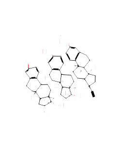 C#C[C@]1(O)CC[C@H]2[C@@H]3CCc4cc(O)ccc4[C@H]3CC[C@@]21C.C[C@]12CC[C@@H]3c4ccc(O)cc4CC[C@H]3[C@@H]1CC[C@@H]2O.C[C@]12CC[C@@H]3c4ccc(O)cc4CC[C@H]3[C@@H]1C[C@@H](O)[C@@H]2O.Cl